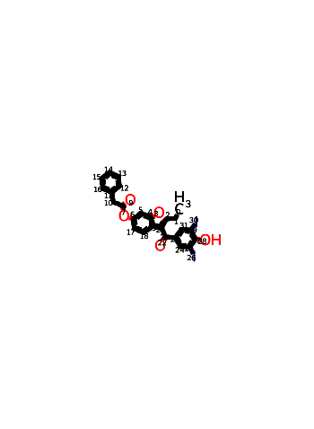 CCc1oc2cc(OC(=O)Cc3ccccc3)ccc2c1C(=O)c1cc(I)c(O)c(I)c1